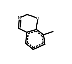 Cc1cccc2c1OCN=C2